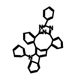 c1ccc(-c2nc3nc(n2)c2ccccc2c2cc(cc4c5ccccc5n(-c5ccccc5)c24)c2ccccc32)cc1